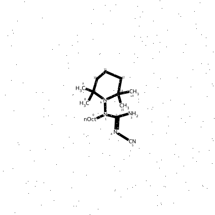 CCCCCCCCN(/C(N)=N/C#N)N1C(C)(C)CCCC1(C)C